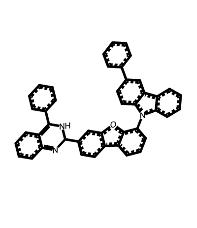 c1ccc(C2=c3ccccc3=NC(c3ccc4c(c3)oc3c(-n5c6ccccc6c6cc(-c7ccccc7)ccc65)cccc34)N2)cc1